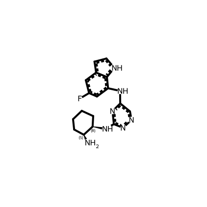 N[C@H]1CCCC[C@H]1Nc1nncc(Nc2cc(F)cc3cc[nH]c23)n1